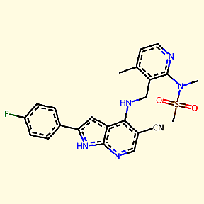 Cc1ccnc(N(C)S(C)(=O)=O)c1CNc1c(C#N)cnc2[nH]c(-c3ccc(F)cc3)cc12